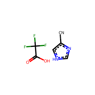 N#Cc1c[nH]cn1.O=C(O)C(F)(F)F